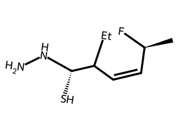 CCC(/C=C\[C@H](C)F)[C@H](S)NN